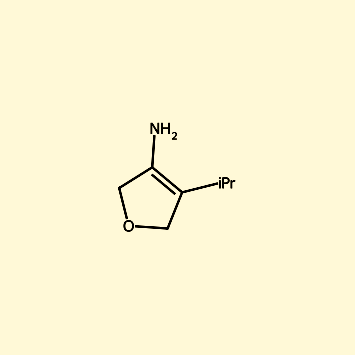 CC(C)C1=C(N)COC1